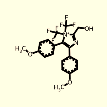 COc1ccc(C2=C(c3ccc(OC)cc3)[N+](C(F)(F)F)(C(F)(F)F)C(CO)=N2)cc1